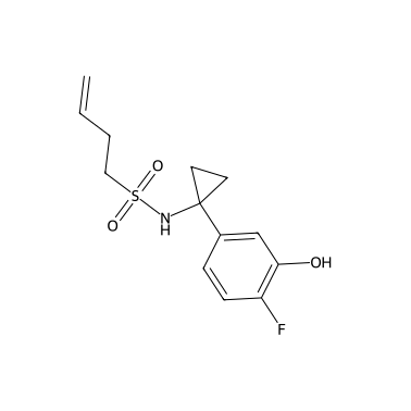 C=CCCS(=O)(=O)NC1(c2ccc(F)c(O)c2)CC1